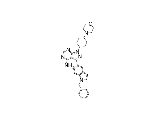 Nc1ncnc2c1c(-c1ccc3c(ccn3Cc3ccccc3)c1)nn2C1CCC(N2CCOCC2)CC1